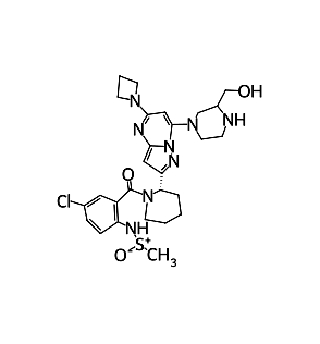 C[S+]([O-])Nc1ccc(Cl)cc1C(=O)N1CCCC[C@H]1c1cc2nc(N3CCC3)cc(N3CCNC(CO)C3)n2n1